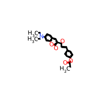 C=CC(=O)Oc1ccc(/C=C/C(=O)c2cc3ccc(N(CC)CC)cc3oc2=O)cc1